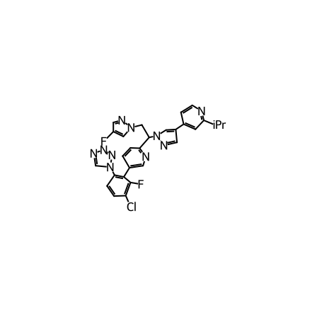 CC(C)c1cc(-c2cnn(C(Cn3cc(F)cn3)c3ccc(-c4c(-n5cnnn5)ccc(Cl)c4F)cn3)c2)ccn1